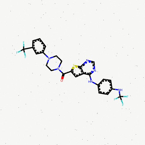 O=C(c1cc2c(Nc3ccc(NC(F)(F)F)cc3)ncnc2s1)N1CCN(c2cccc(C(F)(F)F)c2)CC1